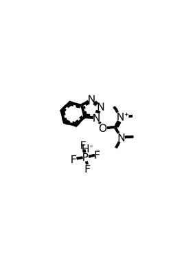 CN(C)C(On1nnc2ccccc21)=[N+](C)C.F[PH-](F)(F)F